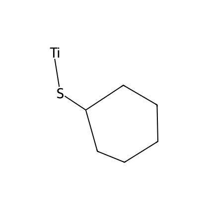 [Ti][S]C1CCCCC1